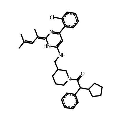 CC(C)=C/C(C)=C1/N=C(c2ccccc2Cl)C=C(NCC2CCCN(C(=O)C(c3ccccc3)C3CCCC3)C2)N1